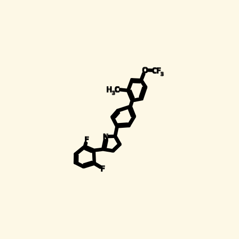 Cc1cc(OC(F)(F)F)ccc1-c1ccc(C2CCC(c3c(F)cccc3F)=N2)cc1